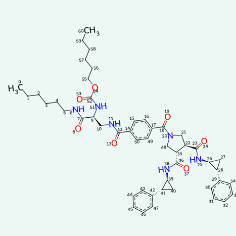 CCCCCCNC(=O)[C@H](CNC(=O)c1ccc(C(=O)N2C[C@@H](C(=O)N[C@H]3C[C@@H]3c3ccccc3)[C@H](C(=O)N[C@H]3C[C@@H]3c3ccccc3)C2)cc1)NC(=O)OCCCCCC